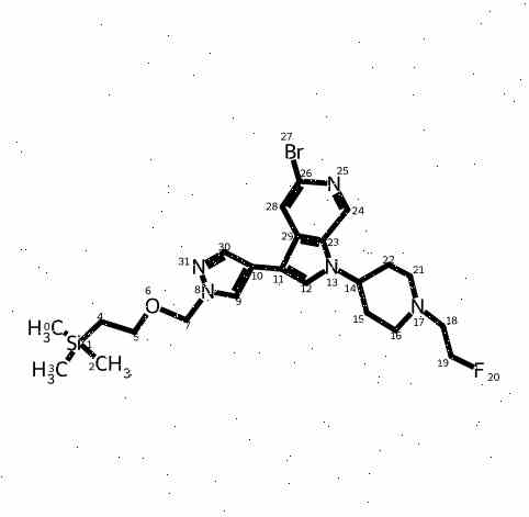 C[Si](C)(C)CCOCn1cc(-c2cn(C3CCN(CCF)CC3)c3cnc(Br)cc23)cn1